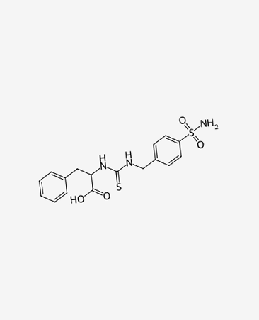 NS(=O)(=O)c1ccc(CNC(=S)NC(Cc2ccccc2)C(=O)O)cc1